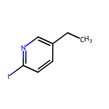 CCc1ccc(I)nc1